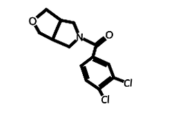 O=C(c1ccc(Cl)c(Cl)c1)N1CC2COCC2C1